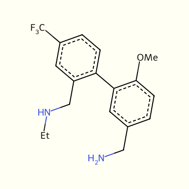 CCNCc1cc(C(F)(F)F)ccc1-c1cc(CN)ccc1OC